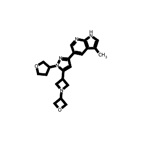 Cc1c[nH]c2ncc(-c3cc(C4CN(C5COC5)C4)n(C4CCOC4)n3)cc12